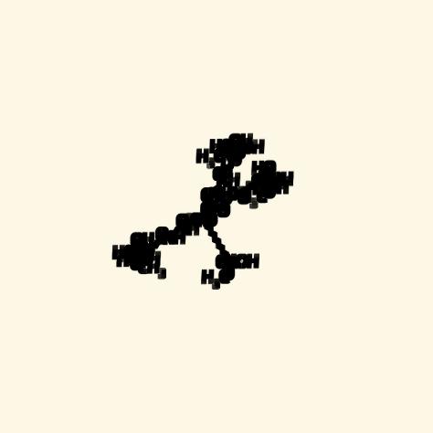 COC[C@@H]1C[C@@H](O)CN1C(=O)CCCCCCCCCCC(=O)NC(COCCC(=O)NCCCNC(=O)CCCCOC1OC(CO)C(O)C(O)C1NC(C)=O)(COCCC(=O)NCCCNC(=O)CCCCOC1OC(CO)C(O)C(O)C1NC(C)=O)COCCC(=O)NCCCNC(=O)CCCCOC1OC(CO)C(O)C(O)C1NC(C)=O